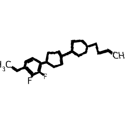 CCCCC1CCC(C2CCC(c3ccc(CC)c(F)c3F)CC2)CC1